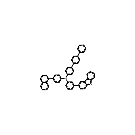 c1ccc(-c2ccc(-c3ccc(N(c4ccc(-c5cccc6ccccc56)cc4)c4cccc(-c5ccc6sc7ccccc7c6c5)c4)cc3)cc2)cc1